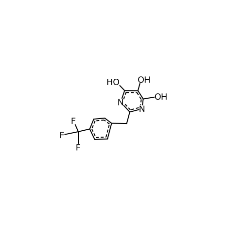 Oc1nc(Cc2ccc(C(F)(F)F)cc2)nc(O)c1O